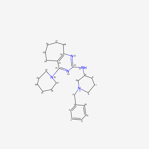 c1ccc(CN2CCCC(Nc3nc4c(c(N5CCCCCC5)n3)CCCCC4)C2)cc1